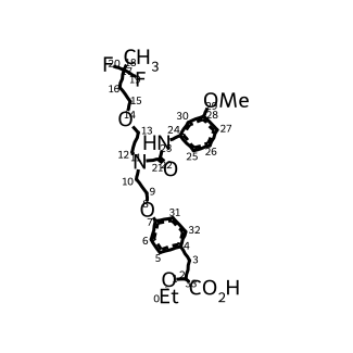 CCOC(Cc1ccc(OCCN(CCOCCC(C)(F)F)C(=O)Nc2cccc(OC)c2)cc1)C(=O)O